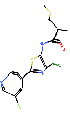 CSCC(C)C(=O)Nc1sc(-c2cncc(F)c2)nc1Cl